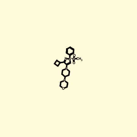 CS(=O)(=O)[N+]1(c2ccccc2)C=C(N2CCC(N3CCOCC3)CC2)C(C2CCC2)=N1